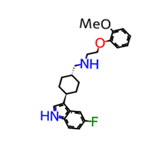 COc1ccccc1OCCNC[C@H]1CC[C@H](c2c[nH]c3ccc(F)cc32)CC1